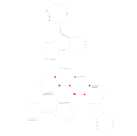 c1ccc(-c2ccccc2-c2c(-c3ccccc3)cccc2N(c2ccc(-c3cccc4c3c3ccccc3n4-c3ccccc3)cc2)c2cccc3c2oc2ccccc23)cc1